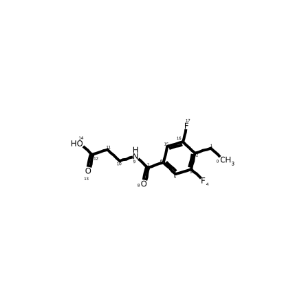 CCc1c(F)cc(C(=O)NCCC(=O)O)cc1F